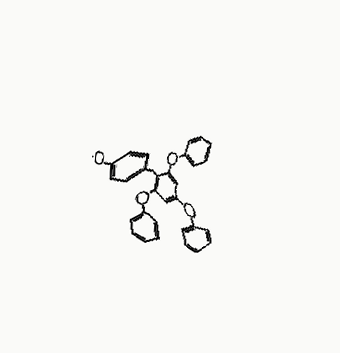 [O]c1ccc(-c2c(Oc3ccccc3)cc(Oc3ccccc3)cc2Oc2ccccc2)cc1